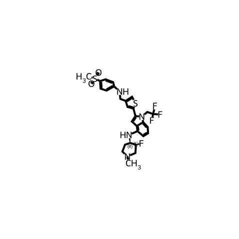 CN1CC[C@@H](Nc2cccc3c2cc(-c2cc(CNc4ccc(S(C)(=O)=O)cc4)cs2)n3CC(F)(F)F)[C@@H](F)C1